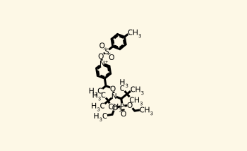 CCOP(=O)(OCC)C(N(OC(C)c1cc[n+](OS(=O)(=O)c2ccc(C)cc2)cc1)C(C)(C)C)C(C)(C)C